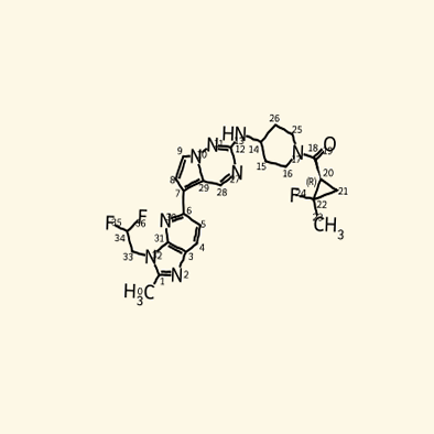 Cc1nc2ccc(-c3ccn4nc(NC5CCN(C(=O)[C@H]6CC6(C)F)CC5)ncc34)nc2n1CC(F)F